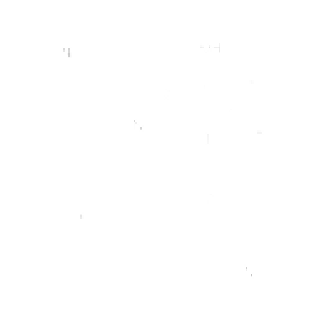 Cc1cc(C#N)ncc1CC1CNCCO1.O=C(O)C(F)(F)F